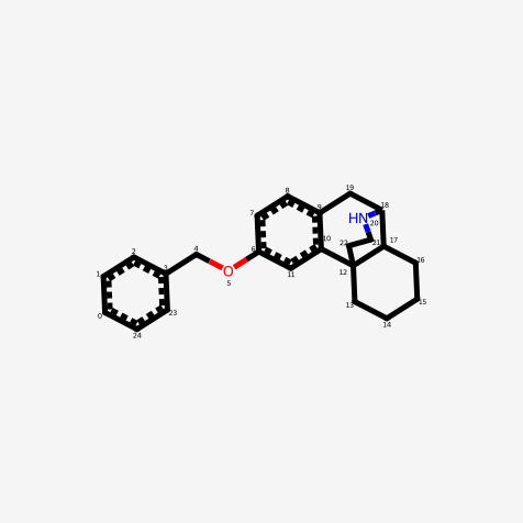 c1ccc(COc2ccc3c(c2)C24CCCCC2C(C3)NCC4)cc1